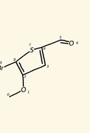 COc1cc(C=O)sc1Br